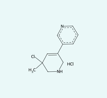 CC1(Cl)C=C(c2cccnc2)CNC1.Cl